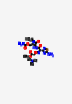 CC(C)(C)OC(=O)CON=C(C(=O)N[C@@H]1C(=O)N(S(=O)(=O)O)[C@@H]1COC(N)=O)c1nsc(N)n1.CCN(CC)CC